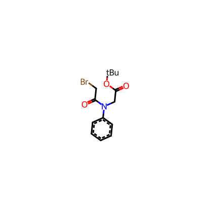 CC(C)(C)OC(=O)CN(C(=O)CBr)c1ccccc1